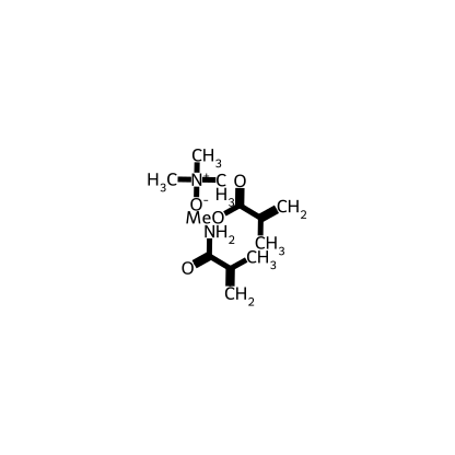 C=C(C)C(=O)OC.C=C(C)C(N)=O.C[N+](C)(C)[O-]